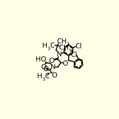 CC(C)(C)CN1C(=O)C(CN(CC(=O)O)S(C)(=O)=O)OC(c2ccccc2Cl)c2cc(Cl)ccc21